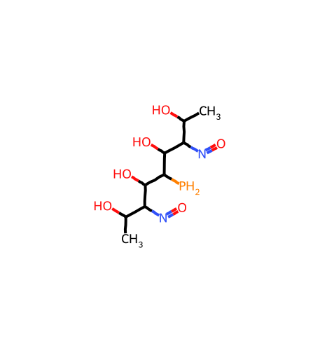 CC(O)C(N=O)C(O)C(P)C(O)C(N=O)C(C)O